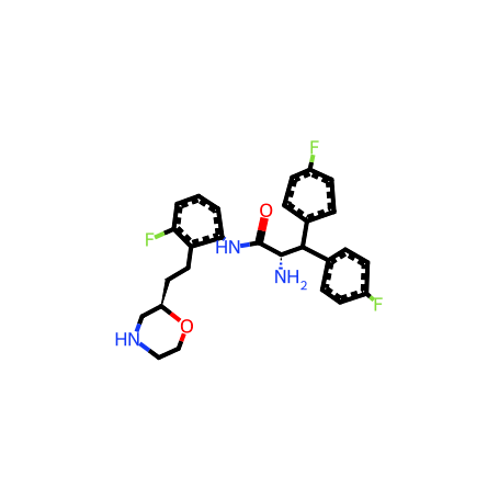 N[C@H](C(=O)Nc1cccc(F)c1CC[C@@H]1CNCCO1)C(c1ccc(F)cc1)c1ccc(F)cc1